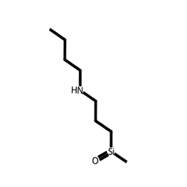 CCCCNCCC[Si](C)=O